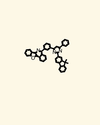 CC1(C)c2ccccc2-c2ccc(-c3nc(-c4ccccc4)cc(-c4cccc(-c5nc6c7ccccc7oc6c6ccccc56)c4)n3)cc21